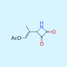 CC(=O)OC=C(C)C1NC(=O)C1=O